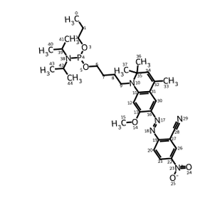 CCCOP(OCCCCN1c2cc(OC)c(/N=N/c3ccc([N+](=O)[O-])cc3C#N)cc2C(C)=CC1(C)C)N(C(C)C)C(C)C